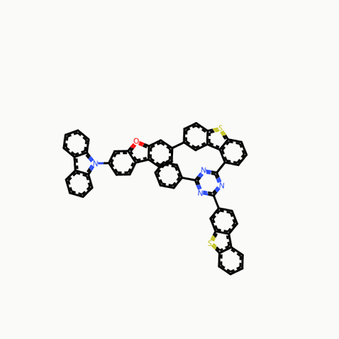 c1ccc(-c2nc(-c3ccc4c(c3)sc3ccccc34)nc(-c3cccc4sc5ccc(-c6ccc7c(c6)oc6cc(-n8c9ccccc9c9ccccc98)ccc67)cc5c34)n2)cc1